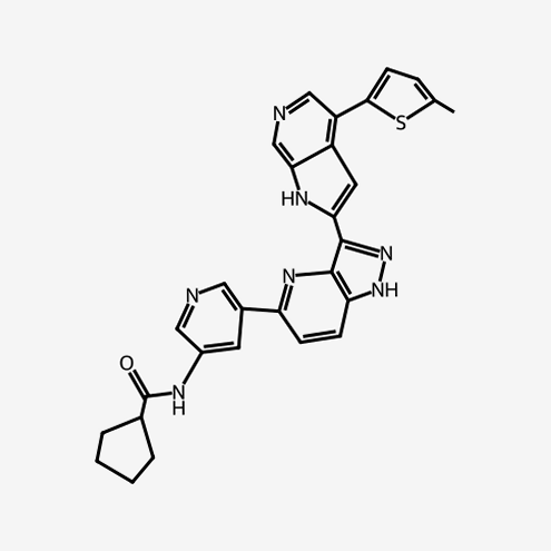 Cc1ccc(-c2cncc3[nH]c(-c4n[nH]c5ccc(-c6cncc(NC(=O)C7CCCC7)c6)nc45)cc23)s1